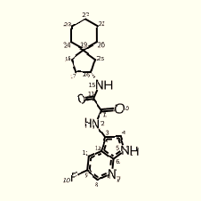 O=C(Nc1c[nH]c2ncc(F)cc12)C(=O)N[C@@H]1CCC2(CCCCC2)C1